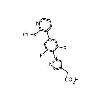 CC(C)Sc1ncccc1-c1cc(F)c(-n2cc(CC(=O)O)cn2)c(F)c1